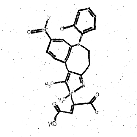 CC1=C2C(=N[N+]1(C)/C(=C\C(=O)O)C(=O)[O-])CCN(c1ccccc1Cl)c1cc([N+](=O)[O-])ccc12